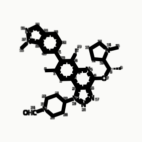 Cc1cc2c(nc(O[C@@H](C)C3CCCN3C)c3nnn(C4CCN(C=O)CC4)c32)c(F)c1-c1ccc2cnn(C)c2c1